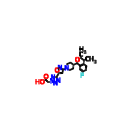 CCC(C)c1ccc(F)cc1C(=O)C1CCN(c2cc(-c3nnn(CC(=O)O)n3)on2)CC1